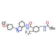 CC(C)(C)C(=O)NCc1ccc(C(F)(F)F)c(C(=O)Nc2cccc3c2cnn3-c2ccc(OC(F)(F)F)cc2)c1